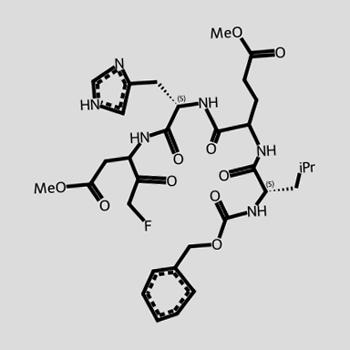 COC(=O)CCC(NC(=O)[C@H](CC(C)C)NC(=O)OCc1ccccc1)C(=O)N[C@@H](Cc1c[nH]cn1)C(=O)NC(CC(=O)OC)C(=O)CF